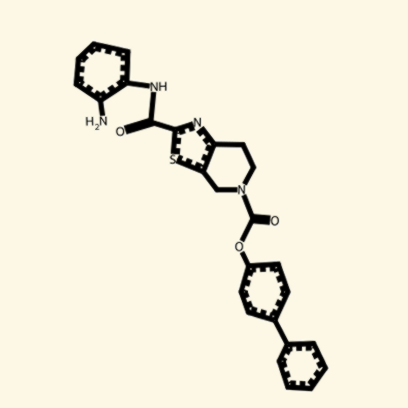 Nc1ccccc1NC(=O)c1nc2c(s1)CN(C(=O)Oc1ccc(-c3ccccc3)cc1)CC2